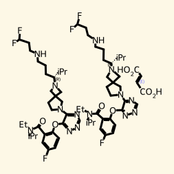 CCN(C(=O)c1cc(F)ccc1Oc1nncnc1N1CCC2(C1)CN([C@H](CCCNCCC(F)F)C(C)C)C2)C(C)C.CCN(C(=O)c1cc(F)ccc1Oc1nncnc1N1CCC2(C1)CN([C@H](CCCNCCC(F)F)C(C)C)C2)C(C)C.O=C(O)/C=C/C(=O)O